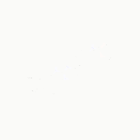 COc1cc(Nc2nccc(-c3ccc(NC(=O)OC(C)(C)C)cc3)n2)cc(OC)c1OC